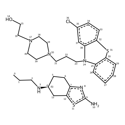 CCCN[C@H]1CCc2nc(N)sc2C1.OCCN1CCN(CCCN2c3ccccc3Sc3ccc(Cl)cc32)CC1